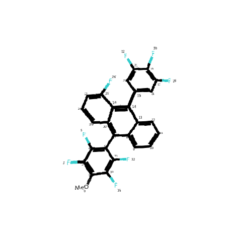 COc1c(F)c(F)c(-c2c3ccccc3c(-c3cc(F)c(F)c(F)c3)c3c(F)cccc23)c(F)c1F